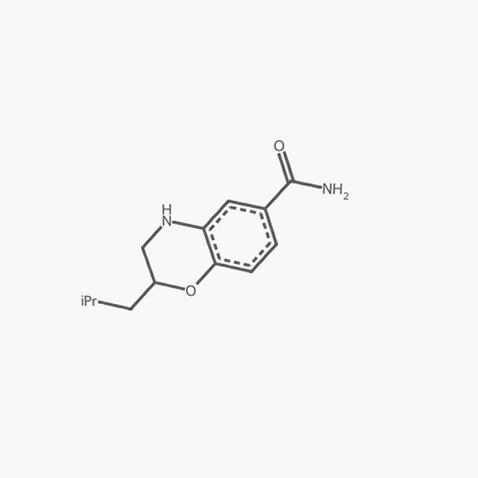 CC(C)CC1CNc2cc(C(N)=O)ccc2O1